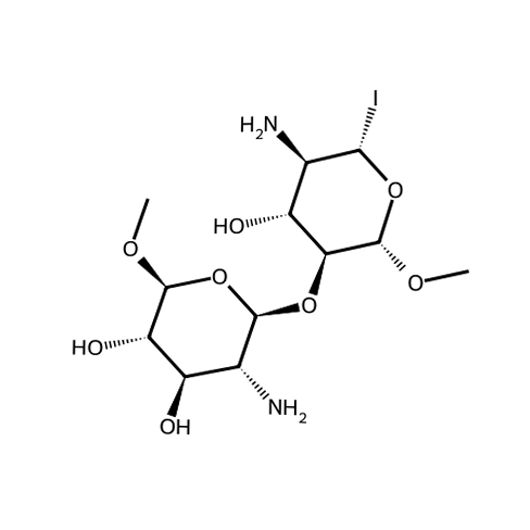 CO[C@H]1O[C@@H](O[C@@H]2[C@@H](OC)O[C@@H](I)[C@H](N)[C@H]2O)[C@H](N)[C@@H](O)[C@@H]1O